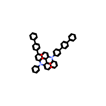 c1ccc(-c2ccc(-c3ccc(N(c4ccccc4)c4ccccc4-c4ccccc4N(c4ccccc4)c4ccc(-c5ccc(-c6ccccc6)cc5)cc4)cc3)cc2)cc1